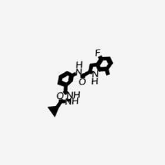 Cc1ccc(F)c2c1NC(C(=O)Nc1cccc(C3NNC(C4CC4)O3)c1)C2